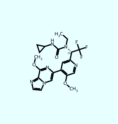 CCN(C(=O)NC1CC1)[C@@H](c1cc(-c2cn3ccnc3c(OC)n2)c(OC)cn1)C(F)(F)F